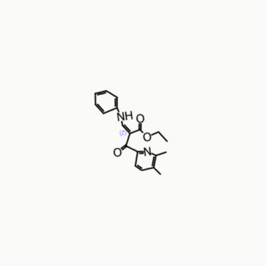 CCOC(=O)/C(=C\Nc1ccccc1)C(=O)c1ccc(C)c(C)n1